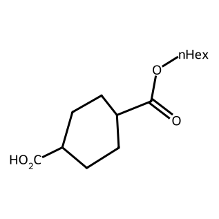 CCCCCCOC(=O)C1CCC(C(=O)O)CC1